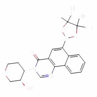 CC1(C)OB(c2cc3c(=O)n([C@H]4CCOC[C@@H]4O)cnc3c3ccccc23)OC1(C)C